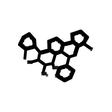 Cc1ccccc1C1=c2ccc3c(c2C(O)C(N)C1O)C(c1cccnc1)C=c1c(F)cccc1=3